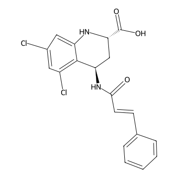 O=C(C=Cc1ccccc1)N[C@@H]1C[C@@H](C(=O)O)Nc2cc(Cl)cc(Cl)c21